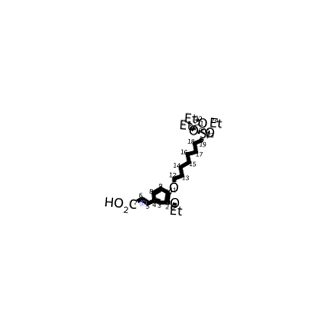 CCOc1cc(/C=C/C(=O)O)ccc1OCCCCCCCC[Si](OCC)(OCC)OCC